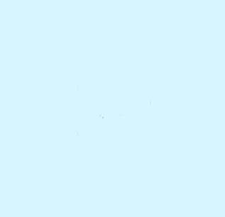 CCC=C[N+](C=CCC)(CC)CC